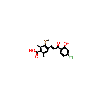 CSc1c(C=CC(=O)c2ccc(Cl)cc2O)cc(C)c(C(=O)O)c1C